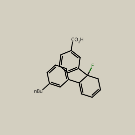 CCCCc1cccc(C2=CC=CCC2(F)c2cccc(C(=O)O)c2)c1